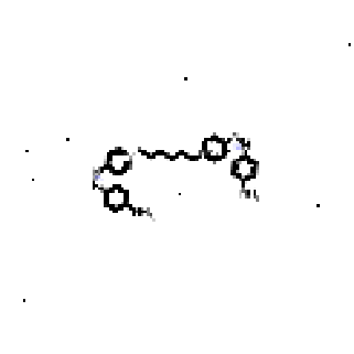 Nc1ccc(/N=N\c2cc[n+](CCCCCC[n+]3ccc(/N=N\c4ccc(N)cc4)cc3)cc2)cc1